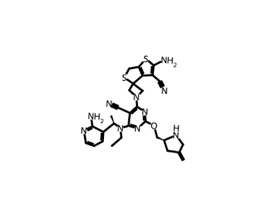 C=C1CN[C@H](COc2nc(N3CC4(C3)SCc3sc(N)c(C#N)c34)c(C#N)c(N(CC)[C@H](C)c3cccnc3N)n2)C1